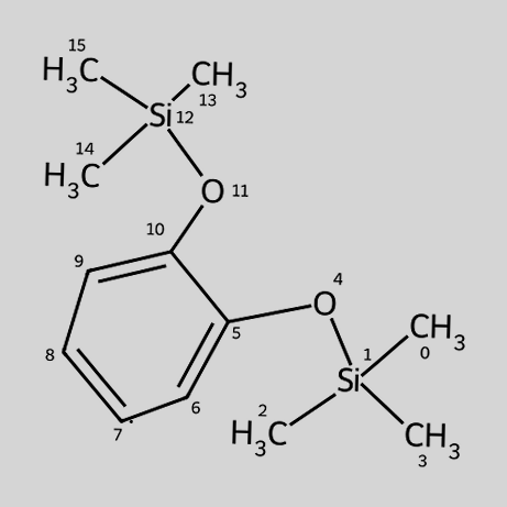 C[Si](C)(C)Oc1c[c]ccc1O[Si](C)(C)C